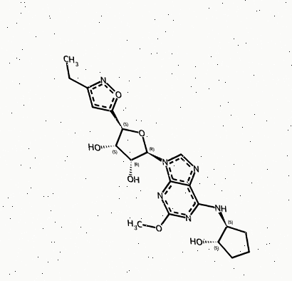 CCc1cc([C@H]2O[C@@H](n3cnc4c(N[C@H]5CCC[C@@H]5O)nc(OC)nc43)[C@H](O)[C@@H]2O)on1